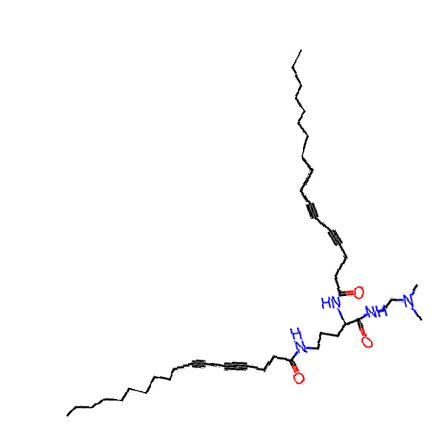 CCCCCCCCCCC#CC#CCCC(=O)NCCCC(NC(=O)CCC#CC#CCCCCCCCCCC)C(=O)NCCN(C)C